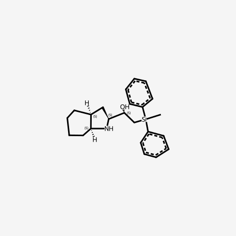 C[Si](C[C@@H](O)[C@@H]1C[C@@H]2CCCC[C@@H]2N1)(c1ccccc1)c1ccccc1